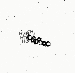 CN(C)[C@H]1C[C@@]23CC[C@@]4(O2)C(=CC[C@]2(C)C(c5ccc6ccncc6c5)=CC[C@H]24)CC3[C@@H](O)[C@@H]1O